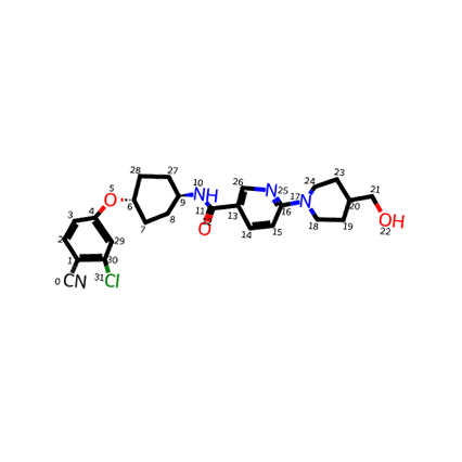 N#Cc1ccc(O[C@H]2CC[C@H](NC(=O)c3ccc(N4CCC(CO)CC4)nc3)CC2)cc1Cl